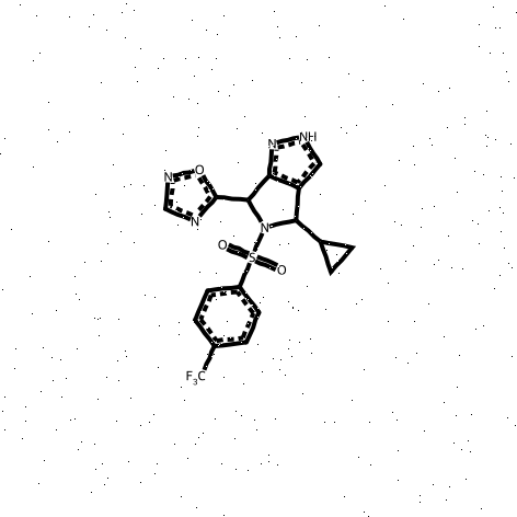 O=S(=O)(c1ccc(C(F)(F)F)cc1)N1C(c2ncno2)c2n[nH]cc2C1C1CC1